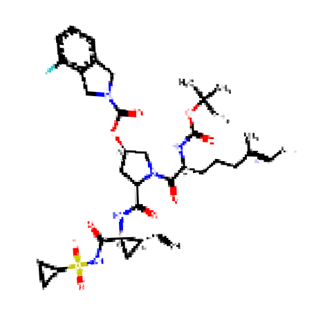 C=C[C@@H]1C[C@]1(NC(=O)C1C[C@@H](OC(=O)N2Cc3cccc(F)c3C2)CN1C(=O)[C@H](CCC/C(C)=C/C)NC(=O)OC(C)(C)C)C(=O)NS(=O)(=O)C1CC1